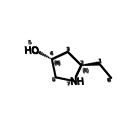 CC[C@@H]1C[C@@H](O)CN1